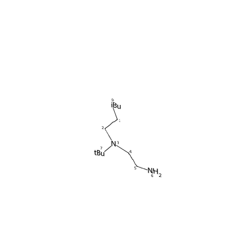 CCC(C)CCN(CCN)C(C)(C)C